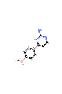 Nc1nccc(-c2ccc(OC(F)(F)F)cc2)n1